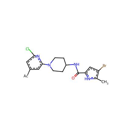 CC(=O)c1cc(Cl)nc(N2CCC(NC(=O)c3cc(Br)c(C)[nH]3)CC2)c1